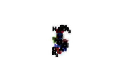 CCOC(=O)c1cnc2ccc(Br)cc2c1Nc1ccc(N2CCN(C(=O)OC(C)(C)C)CC2)c(C(F)(F)F)c1